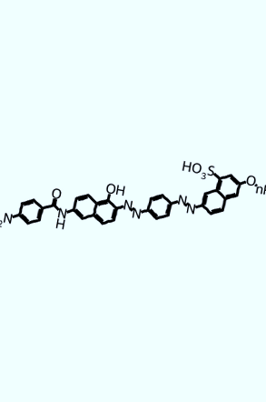 CCCOc1cc(S(=O)(=O)O)c2cc(N=Nc3ccc(N=Nc4ccc5cc(NC(=O)c6ccc(N)cc6)ccc5c4O)cc3)ccc2c1